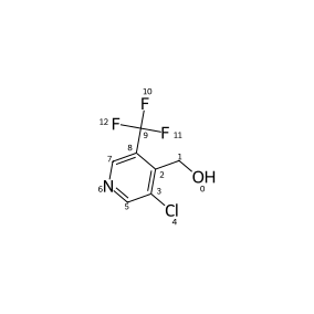 OCc1c(Cl)cncc1C(F)(F)F